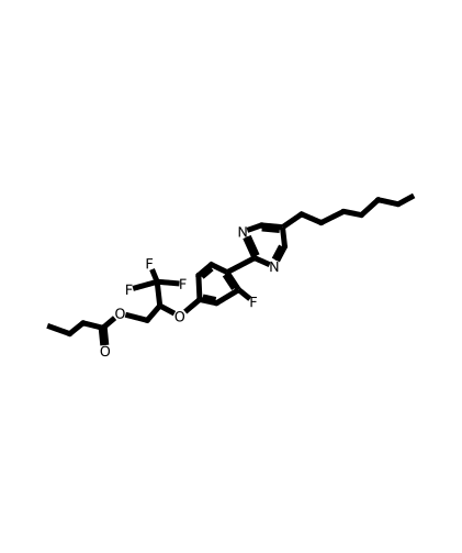 CCCCCCCc1cnc(-c2ccc(OC(COC(=O)CCC)C(F)(F)F)cc2F)nc1